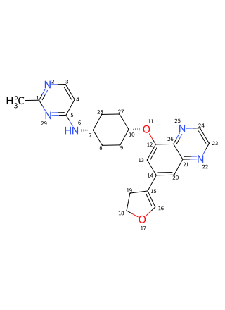 Cc1nccc(N[C@H]2CC[C@@H](Oc3cc(C4=COCC4)cc4nccnc34)CC2)n1